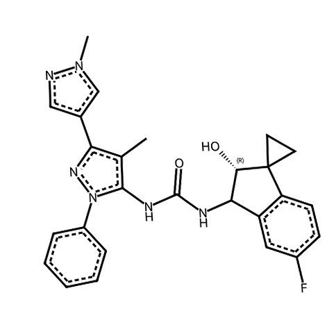 Cc1c(-c2cnn(C)c2)nn(-c2ccccc2)c1NC(=O)NC1c2cc(F)ccc2C2(CC2)[C@H]1O